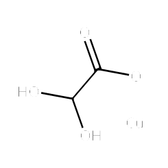 O=C([O-])C(O)O.[Cu+]